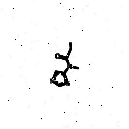 CCC(=O)N(C)c1cncs1